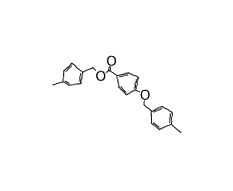 Cc1ccc(COC(=O)c2ccc(OCc3ccc(C)cc3)cc2)cc1